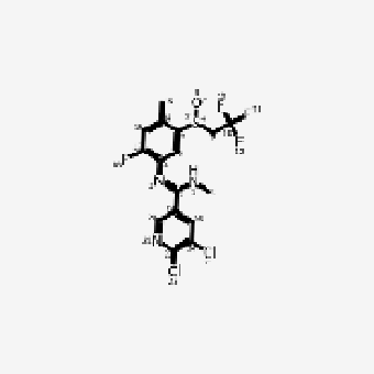 CN/C(=N\c1cc([S+]([O-])CC(F)(F)F)c(C)cc1F)c1cnc(Cl)c(Cl)c1